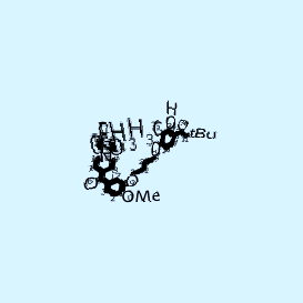 COc1ccc(C(=O)C2CCN(S(C)(=O)=O)CC2)cc1OCCCCOc1ccc(C(=O)CC(C)(C)C)c(O)c1C